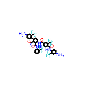 NC(=O)c1c(-c2ccc(N)cc2C(F)(F)F)ccc(NC(=O)c2ccc(C(=O)Nc3ccc(N)cc3C(F)(F)F)c(C(F)(F)F)c2)c1C(=O)Nc1ccccc1C(F)(F)F